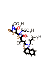 CCC(/C=C1\Sc2ccc3ccccc3c2N1CCCS(=O)(=O)O)=c1\s/c(=C2\SC(=S)N(CC(=O)O)C2=O)n(CC(=O)O)c1=O